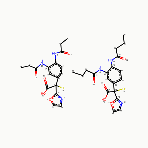 CCC(=O)Nc1ccc(C(S)(C(=O)O)c2ncco2)cc1NC(=O)CC.CCCC(=O)Nc1ccc(C(S)(C(=O)O)c2ncco2)cc1NC(=O)CCC